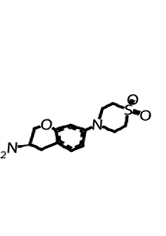 N[C@H]1COc2cc(N3CCS(=O)(=O)CC3)ccc2C1